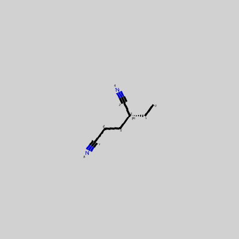 CC[C@@H](C#N)CCC#N